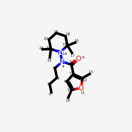 CCCCN(C(=O)c1cc(C)oc1C)N1C(C)(C)CCCC1(C)C